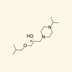 CC(C)COC[C@H](O)CN1CCN(C(C)C)CC1